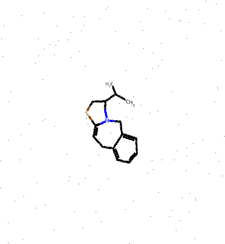 CC(C)C1CSC2=CCc3ccccc3CN21